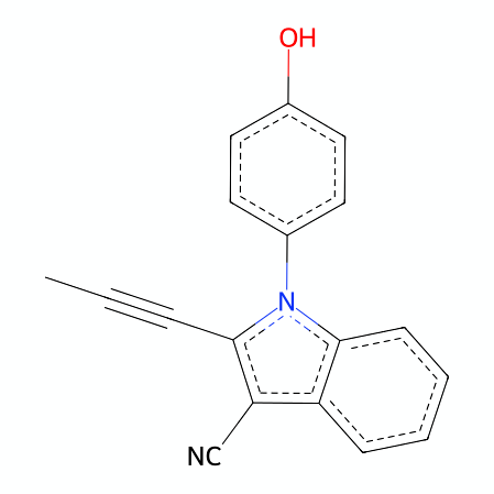 CC#Cc1c(C#N)c2ccccc2n1-c1ccc(O)cc1